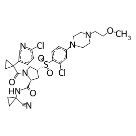 COCCN1CCN(c2ccc(S(=O)(=O)[C@@H]3C[C@@H](C(=O)NC4(C#N)CC4)N(C(=O)C4(c5ccc(Cl)nc5)CC4)C3)c(Cl)c2)CC1